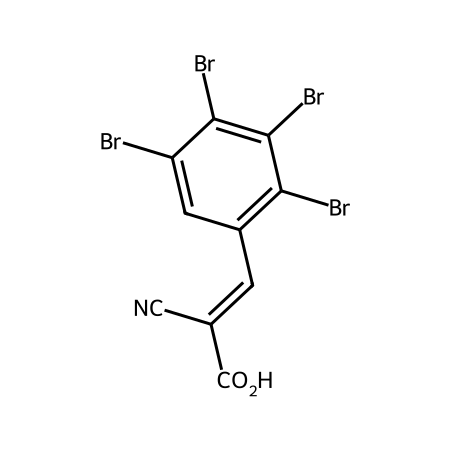 N#C/C(=C\c1cc(Br)c(Br)c(Br)c1Br)C(=O)O